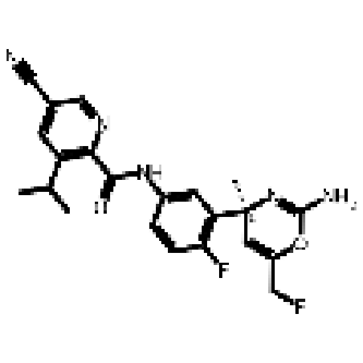 CC(C)c1cc(C#N)cnc1C(=O)Nc1ccc(F)c([C@]2(C)C=C(CF)OC(N)=N2)c1